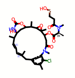 C/C1=C\C=C\C(C)C2(O)CC(OC(=O)N2)C(C)C2OC2(C)C(OC(=O)[C@H](C)N(C)C(=O)CCSO)CC(=O)N(C)c2cc(cc(C)c2Cl)C1